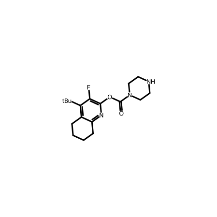 CC(C)(C)c1c(F)c(OC(=O)N2CCNCC2)nc2c1CCCC2